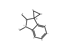 CC1N(C)c2ccccc2C12CC2